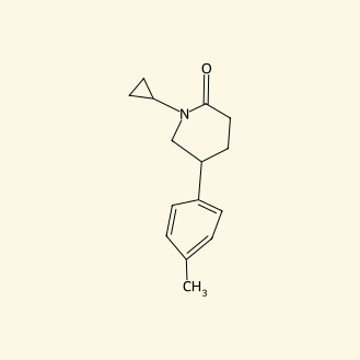 Cc1ccc(C2CCC(=O)N(C3CC3)C2)cc1